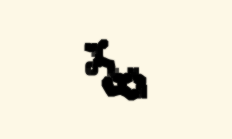 CN(C)C(=O)Cn1ccc2cncnc21